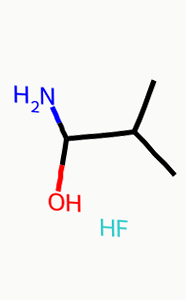 CC(C)C(N)O.F